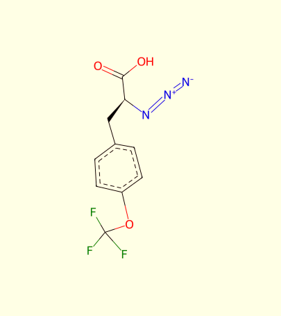 [N-]=[N+]=N[C@@H](Cc1ccc(OC(F)(F)F)cc1)C(=O)O